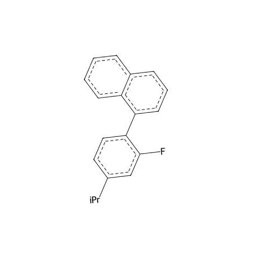 CC(C)c1ccc(-c2cccc3ccccc23)c(F)c1